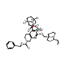 CC(C)(C)OC(=O)N1[C@@H]2CC[C@H]1CN(c1nc(OCC34CCCN3C(CF)CC4)nc3c1CCN(C(=O)OCc1ccccc1)C3)C2